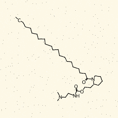 CCCCCCCCCCCCCCCCCCCCCC(=O)N1CCCCC1CCOC(=O)NCCN(C)C